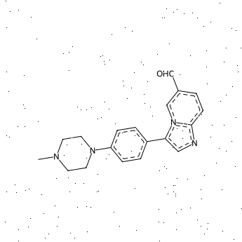 CN1CCN(c2ccc(-c3cnc4ccc(C=O)cn34)cc2)CC1